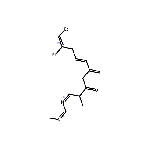 C=C(C=CC/C(=C\CC)CC)CC(=O)C(C)/C=N\C=N/C